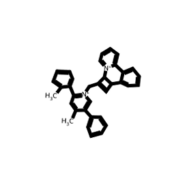 Cc1cc(-c2ccccc2C)[n+](CC2=CC3c4ccccc4-c4cccc[n+]4C23)cc1-c1ccccc1